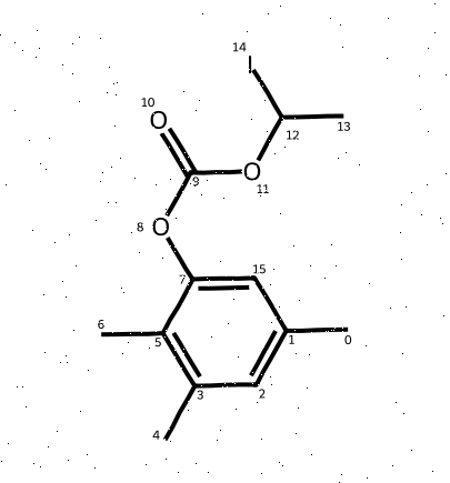 Cc1cc(C)c(C)c(OC(=O)OC(C)I)c1